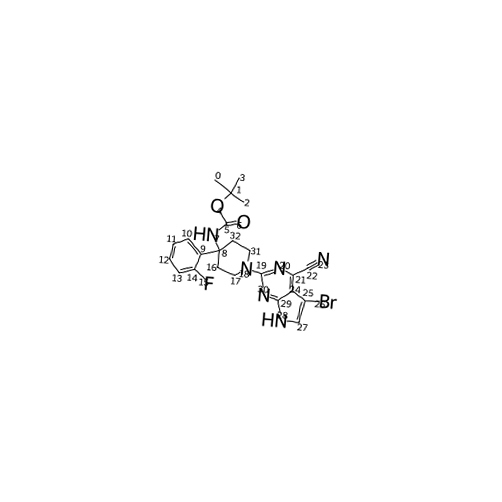 CC(C)(C)OC(=O)NC1(c2ccccc2F)CCN(c2nc(C#N)c3c(Br)c[nH]c3n2)CC1